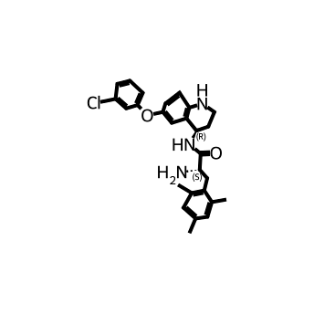 Cc1cc(C)c(C[C@H](N)C(=O)N[C@@H]2CCNc3ccc(Oc4cccc(Cl)c4)cc32)c(C)c1